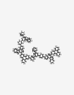 c1ccc(-c2cc(-c3cccc(-c4ccc5nc(-c6ccc7c8ccccc8c8cc(-c9cccc(-c%10cc(-c%11ccc(-c%12ccc%13c(c%12)nc(-c%12ccc%14c%15ccccc%15c%15ccccc%15c%14c%12)c%12sc%14ccccc%14c%12%13)cc%11)cc(-c%11ccccn%11)n%10)n9)ccc8c7c6)c6sc7ccccc7c6c5c4)c3)cc(-c3ccccn3)n2)nc1